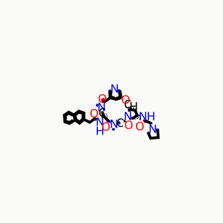 CN1C[C@H](NC(=O)Cc2ccc3ccccc3c2)C(=O)N(C)CC(=O)N2C[C@@H](NC(=O)CN3CCCC3)C[C@H]2COc2cncc(c2)C1=O